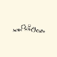 COc1ccc(NC(=O)c2cccc(NC(C)=O)c2)cn1